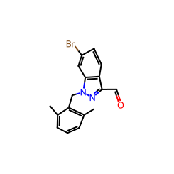 Cc1cccc(C)c1Cn1nc(C=O)c2ccc(Br)cc21